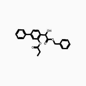 CCC(=O)Oc1cc(-c2ccccc2)ccc1C(O)C(=O)OCc1ccccc1